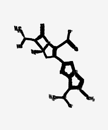 C[C@@H](O)[C@H]1C(=O)N2C(C(=O)[O-])=C(c3c[n+]4cn(C)c([S+](C)[O-])c4s3)C[C@H]12